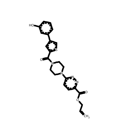 C=CCOC(=O)c1ccc(N2CCN(C(=O)c3cc(-c4cccc(O)c4)cs3)CC2)nn1